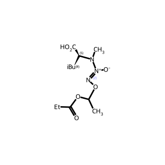 CCC(=O)OC(C)O/N=[N+](\[O-])N(C)[C@H](C(=O)O)[C@H](C)CC